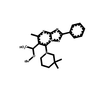 Cc1nc2nc(-c3ccccc3)nn2c(N2CCCC(C)(C)C2)c1C(OC(C)(C)C)C(=O)O